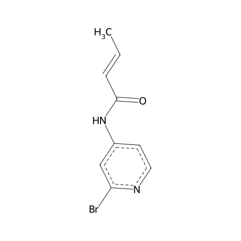 C/C=C/C(=O)Nc1ccnc(Br)c1